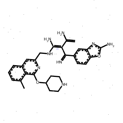 C=C(N)/C(C(=N)c1ccc2oc(N)nc2c1)=C(\N)NCc1cc2cccc(C)c2c(OC2CCNCC2)n1